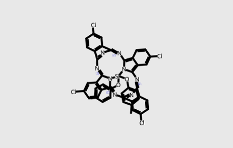 Cc1ccc(O[Si]2(Oc3ccc(C)cc3)n3c4c5cc(Cl)ccc5c3/N=C3N=C(/N=c5/c6cc(Cl)ccc6/c(n52)=N/C2=NC(=N\4)/c4ccc(Cl)cc42)c2ccc(Cl)cc2\3)cc1